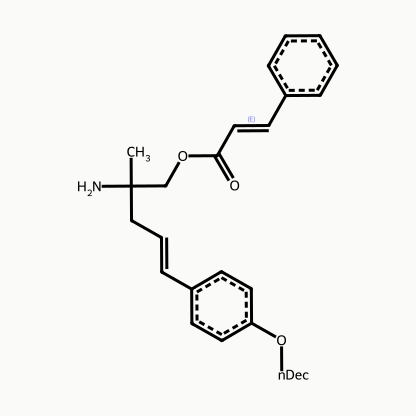 CCCCCCCCCCOc1ccc(C=CCC(C)(N)COC(=O)/C=C/c2ccccc2)cc1